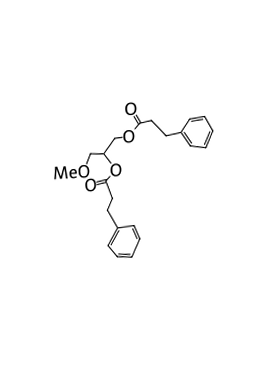 COCC(COC(=O)CCc1ccccc1)OC(=O)CCc1ccccc1